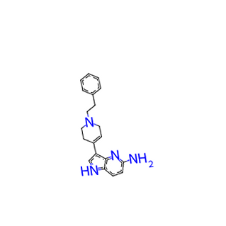 Nc1ccc2[nH]cc(C3=CCN(CCc4ccccc4)CC3)c2n1